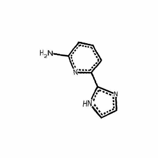 Nc1cccc(-c2ncc[nH]2)n1